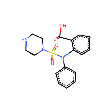 O=C(O)c1ccccc1N(c1ccccc1)S(=O)(=O)N1CCNCC1